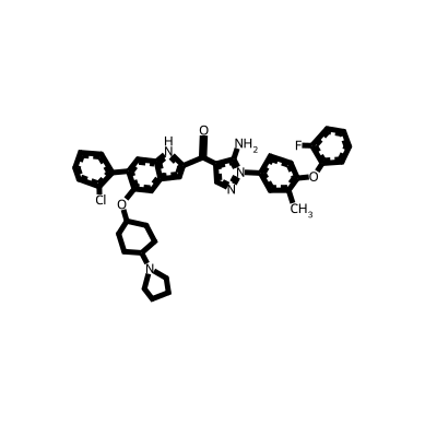 Cc1cc(-n2ncc(C(=O)c3cc4cc(OC5CCC(N6CCCC6)CC5)c(-c5ccccc5Cl)cc4[nH]3)c2N)ccc1Oc1ccccc1F